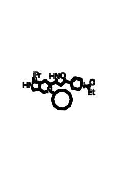 CCC(=O)N1CCC(C2CC(C3CC4C(CNN4C(C)C)CN3C3CCCCCCCCC3)NO2)CC1